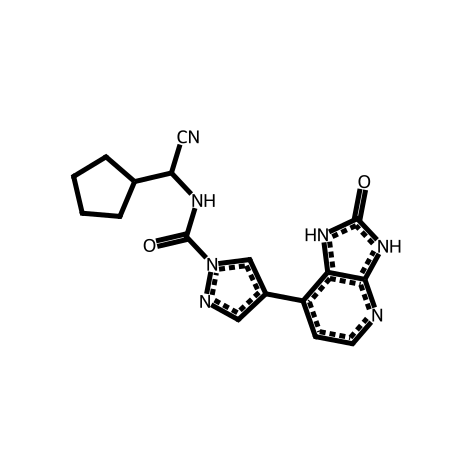 N#CC(NC(=O)n1cc(-c2ccnc3[nH]c(=O)[nH]c23)cn1)C1CCCC1